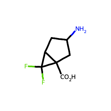 NC1CC2C(F)(F)C2(C(=O)O)C1